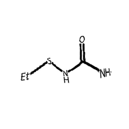 CCSNC([NH])=O